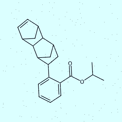 CC(C)OC(=O)c1ccccc1C1CC2CC1C1C3C=CC(C3)C21